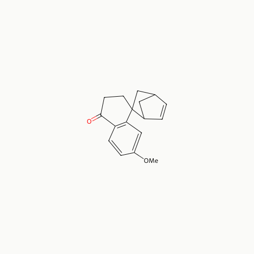 COc1ccc2c(c1)C1(CCC2=O)CC2C=CC1C2